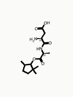 CC1CCC(C)(C)C1OC(=O)[C@H](C)NC(=O)[C@@H](N)CC(=O)O